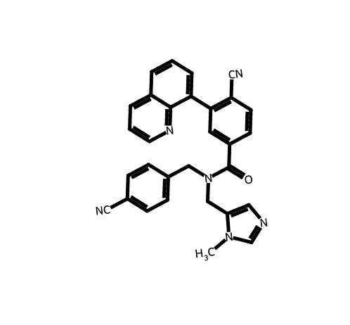 Cn1cncc1CN(Cc1ccc(C#N)cc1)C(=O)c1ccc(C#N)c(-c2cccc3cccnc23)c1